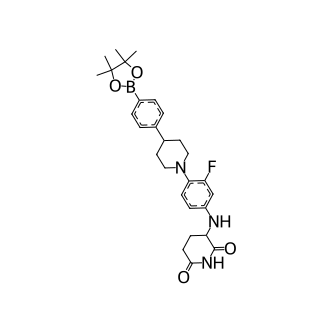 CC1(C)OB(c2ccc(C3CCN(c4ccc(NC5CCC(=O)NC5=O)cc4F)CC3)cc2)OC1(C)C